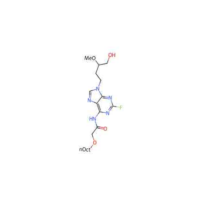 CCCCCCCCOCC(=O)Nc1nc(F)nc2c1ncn2CCC(CO)OC